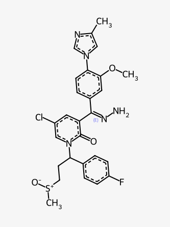 COc1cc(/C(=N\N)c2cc(Cl)cn(C(CC[S+](C)[O-])c3ccc(F)cc3)c2=O)ccc1-n1cnc(C)c1